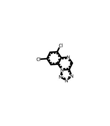 Clc1cc(Cl)c2ncc3nnnn3c2c1